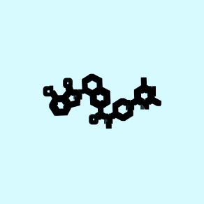 Cc1cc(N2CCC(N(C)C(=O)c3ccc4c(c3)[C@H](N3Cc5cccc(Cl)c5C3=O)CCC4)CC2)nc(C)n1